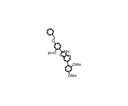 COc1ccc(-c2cnc3[nH]c(-c4ccc(OCc5ccccc5)cc4OC(C)C)nc3c2)c(OC)c1